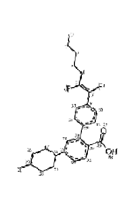 CCCCC/C(F)=C(\F)c1ccc(-c2cc(C3CCC(C)CC3)ccc2C(=O)O)cc1